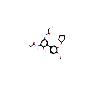 COc1ccc(-c2cc(NC(=O)CBr)cc(NC(=O)CBr)c2O)cc1OC1CCCC1